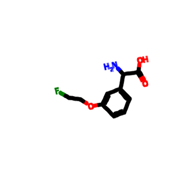 NC(C(=O)O)c1cccc(OCCF)c1